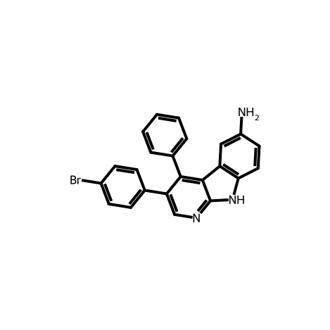 Nc1ccc2[nH]c3ncc(-c4ccc(Br)cc4)c(-c4ccccc4)c3c2c1